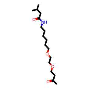 CC(=O)CCOCCOCCCCCCNC(=O)CC(C)C